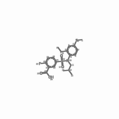 CCc1cc(SC)ccc1N(CC(C)C)S(=O)(=O)c1ccc(F)c(C(=O)O)c1